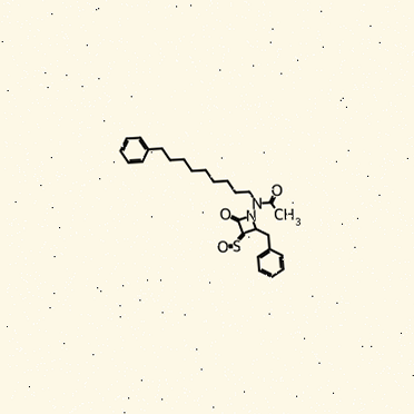 CC(=O)N(CCCCCCCCCc1ccccc1)N1C(=O)C(=S=O)C1Cc1ccccc1